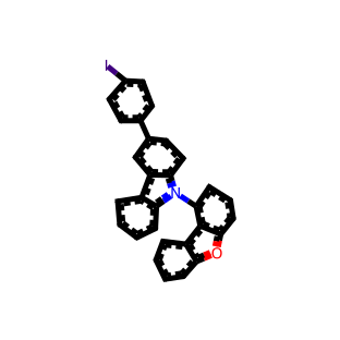 Ic1ccc(-c2ccc3c(c2)c2ccccc2n3-c2cccc3oc4ccccc4c23)cc1